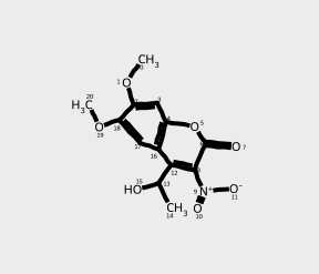 COc1cc2oc(=O)c([N+](=O)[O-])c(C(C)O)c2cc1OC